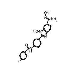 NC(=NO)c1ccc2nc(-c3ccc(NC(=O)c4ccc(F)cc4)cc3)n(O)c2c1